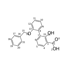 O=C(O)c1cccc(-c2ccccc2OCc2ccccc2)c1O